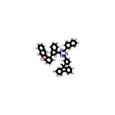 CC1(c2cccc(-c3nc(-c4ccc5ccccc5c4)nc(-c4cc(-c5cccc6oc7cc8ccccc8cc7c56)cc5ccccc45)n3)c2)c2ccccc2-c2ccccc21